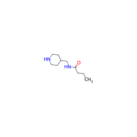 CCCC(=O)NCC1CCNCC1